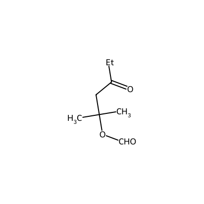 [CH2-][CH+]C(=O)CC(C)(C)OC=O